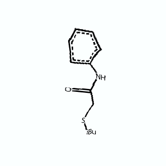 CCC(C)SCC(=O)Nc1ccccc1